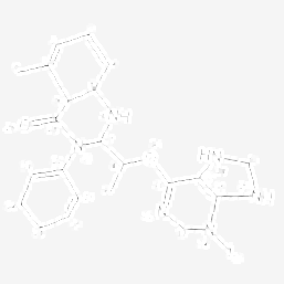 CC1=CC=CC2NC(C(C)OC3=NCN(I)C4=C3NCN4)N(C3=CCCC=C3)C(=O)C12